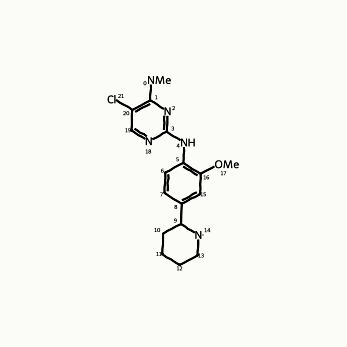 CNc1nc(Nc2ccc(C3CCCC[N]3)cc2OC)ncc1Cl